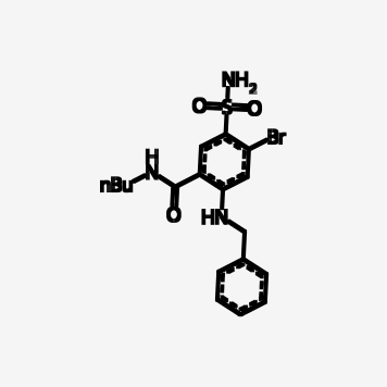 CCCCNC(=O)c1cc(S(N)(=O)=O)c(Br)cc1NCc1ccccc1